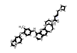 Cc1cc(Nc2ncnc3cc4c(nc23)N2CCN(C(=O)/C=C/CN3CCC3)[C@@H](CO4)C2)ccc1Oc1ccn2ncnc2c1